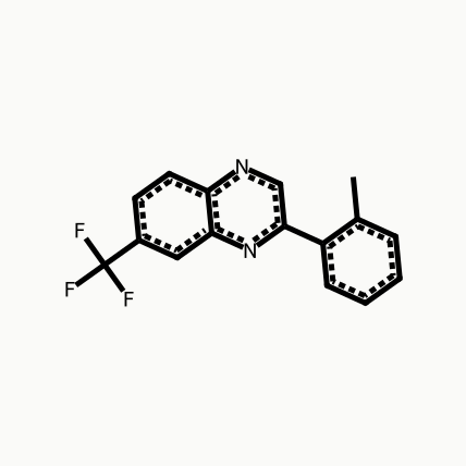 Cc1ccccc1-c1cnc2ccc(C(F)(F)F)cc2n1